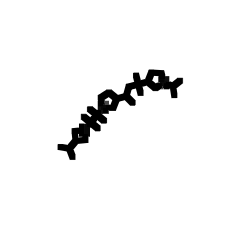 CC(C)C1CN(C(C)(C)C(C)(C)N2CCC(C(C)CC(C)(C)C3CCN(C(C)C)C3)C2)C1